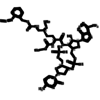 CSS[C@@H](CC[C@H](NC(=O)OC(C)(C)C)C(=O)O[C@H]1[C@H](O)[C@@H](n2cnc3c(N)ncnc32)O[C@H]1COP(=O)(O)O[C@H]1C[C@H](n2ccc(N)nc2=O)O[C@@H]1COP(=O)(O)O)CNC(=O)OCc1ccccc1N=[N+]=[N-]